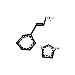 O=C(O)C=Cc1ccccc1.c1c[nH]nn1